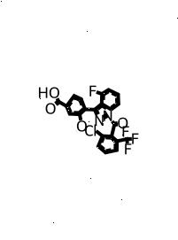 COc1cc(C(=O)O)ccc1-c1nn(C(=O)c2c(Cl)cccc2C(F)(F)F)c2cccc(F)c12